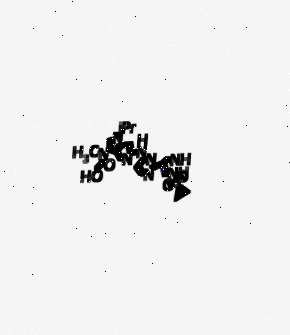 CC(C)n1cc(N(C)C(=O)CO)c2cnc(Nc3ccnc(/C(C=N)=C/NS(=O)(=O)C4CC4)n3)cc21